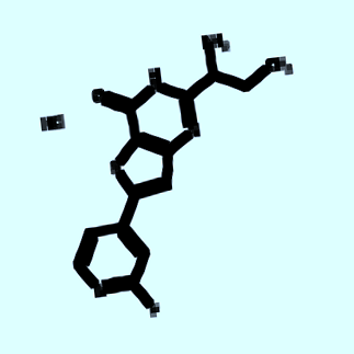 CCC(N)c1nc2cc(-c3ccnc(F)c3)sc2c(=O)[nH]1.Cl